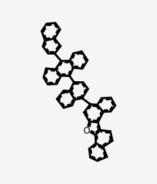 c1ccc2cc(-c3c4ccccc4c(-c4ccc(-c5cc6oc7c8ccccc8ccc7c6c6ccccc56)c5ccccc45)c4ccccc34)ccc2c1